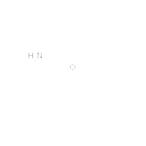 CC(N)=O.CCCCCC